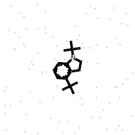 CC(C)(C)c1cccc2c1CCN2C(C)(C)C